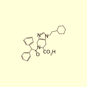 O=C(O)C1Cc2c(ncn2CCC2CCCCC2)CN1C(=O)C(c1ccccc1)c1ccccc1